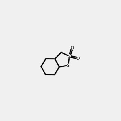 O=S1(=O)CC2CCCCC2S1